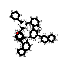 c1ccc(-c2nc(-c3ccccc3)nc(-c3cccc4oc5c(-c6ccc7ccccc7c6)cc(-n6c7ccccc7c7c8ccccc8ccc76)cc5c34)n2)cc1